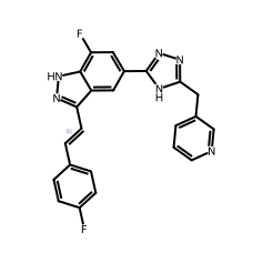 Fc1ccc(/C=C/c2n[nH]c3c(F)cc(-c4nnc(Cc5cccnc5)[nH]4)cc23)cc1